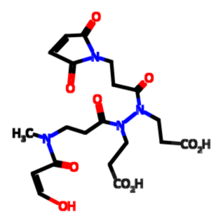 CN(CCC(=O)N(CCC(=O)O)N(CCC(=O)O)C(=O)CCN1C(=O)C=CC1=O)C(=O)/C=C\O